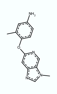 Cc1cc(N)ccc1Oc1cc2ncn(C)c2cn1